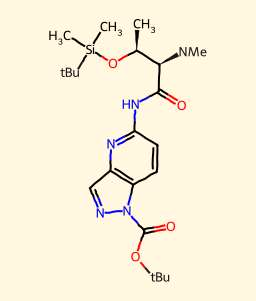 CN[C@@H](C(=O)Nc1ccc2c(cnn2C(=O)OC(C)(C)C)n1)[C@H](C)O[Si](C)(C)C(C)(C)C